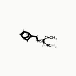 CO[SiH](CCC1CC2C=CC1C2)OC